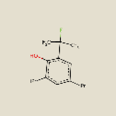 CC(C)c1cc(C(C)C)c(O)c(C(F)(C(F)(F)F)C(F)(F)F)c1